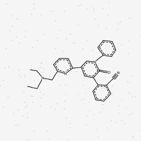 CCN(CC)Cc1cccc(-c2cc(-c3ccccc3C#N)c(=O)n(-c3ccccc3)c2)n1